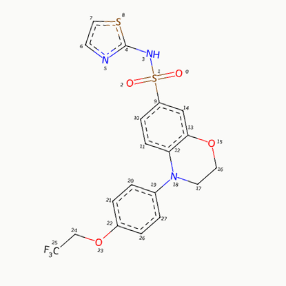 O=S(=O)(Nc1nccs1)c1ccc2c(c1)OCCN2c1ccc(OCC(F)(F)F)cc1